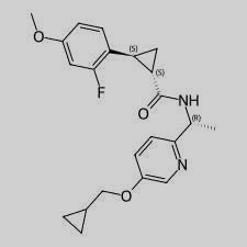 COc1ccc([C@H]2C[C@@H]2C(=O)N[C@H](C)c2ccc(OCC3CC3)cn2)c(F)c1